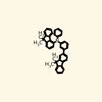 CC1(C)c2ccccc2-c2ccc(-c3cccc(N(c4ccccc4)c4cccc5c4-c4ccccc4C5(C)C)c3)cc21